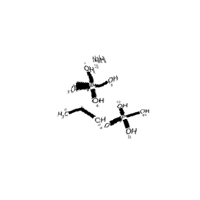 CCO.O=P(O)(O)O.O=P(O)(O)O.[NaH]